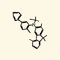 Cc1ccc(-c2ccccc2)cc1N(c1cc2c(cc1C)C(C)(C)c1cccc(C)c1-2)C(C)(C)C